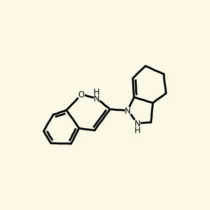 C1=C(N2NCC3CCCC=C32)NOc2ccccc21